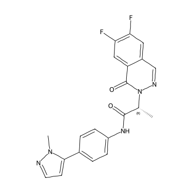 C[C@H](C(=O)Nc1ccc(-c2ccnn2C)cc1)n1ncc2cc(F)c(F)cc2c1=O